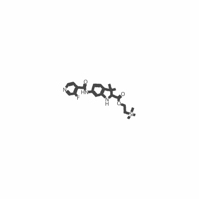 CC1(C)c2ccc(NC(=O)c3ccncc3F)cc2NC1C(=O)OCC[Si](C)(C)C